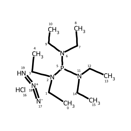 CCN(CC)P(N(CC)CC)N(CC)CC.Cl.[N-]=[N+]=N